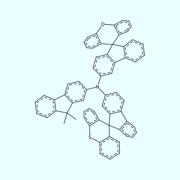 CC1(C)c2ccccc2-c2ccc(N(c3ccc4c(c3)-c3ccccc3C43c4ccccc4Oc4ccccc43)c3ccc4c(c3)C3(c5ccccc5Sc5ccccc53)c3ccccc3-4)cc21